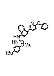 COc1ccc(C(C)(C)C)cc1NC(=O)Nc1ccc(-c2ccc(Oc3cccnc3)nc2)c2ccccc12